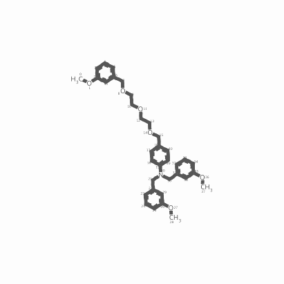 COc1cccc(COCCOCCOCc2ccc(N(Cc3cccc(OC)c3)Cc3cccc(OC)c3)cc2)c1